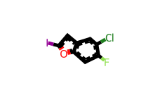 Fc1cc2oc(I)cc2cc1Cl